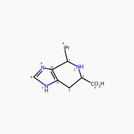 CC(C)C1NC(C(=O)O)Cc2[nH]cnc21